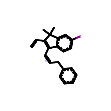 C=CC1=C(/C=C\Cc2ccccc2)c2ccc(I)cc2C1(C)C